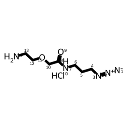 Cl.[N-]=[N+]=NCCCNC(=O)COCCN